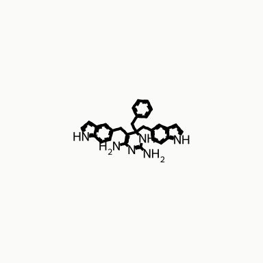 NC1=NC(N)=C(Cc2ccc3[nH]ccc3c2)C(Cc2ccccc2)(Cc2ccc3[nH]ccc3c2)N1